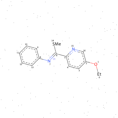 CCOc1ccc(/C(=N/c2ccccc2)SC)nc1